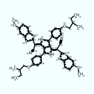 CCC(C)COc1ccc(-c2[nH]/c(=C(/C#N)c3nc4ccc(OC)cc4s3)c3c(-c4ccc(OCC(C)CC)cc4)[nH]/c(=C(/C#N)c4nc5ccc(OC)cc5s4)c23)cc1